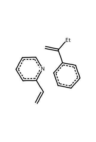 C=C(CC)c1ccccc1.C=Cc1ccccn1